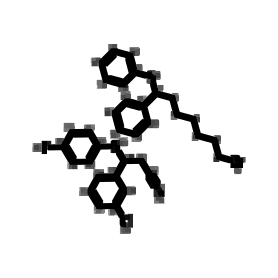 BrCCCCCCC(Sc1ccccc1)c1ccccc1.N#CCC(Sc1ccc(F)cc1)c1cccc(Cl)c1